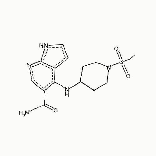 CS(=O)(=O)N1CCC(Nc2c(C(N)=O)cnc3[nH]ccc23)CC1